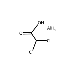 O=C(O)C(Cl)Cl.[AlH3]